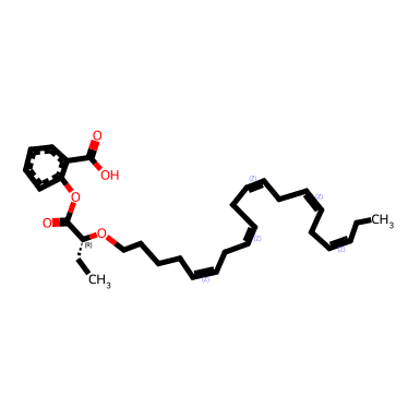 CC/C=C\C/C=C\C/C=C\C/C=C\C/C=C\CCCCO[C@H](CC)C(=O)Oc1ccccc1C(=O)O